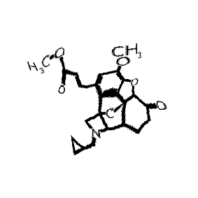 COC(=O)/C=C/c1cc(OC)c2c3c1C14CN(CC5CC5)C1C1CCC(=O)C(O2)[C@@]31C4